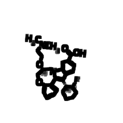 CN(C)CCO[C@H]1COc2ccccc2-c2c([C@H]3CCCC[C@@H]3F)c3ccc(C(=O)O)cc3n2C1